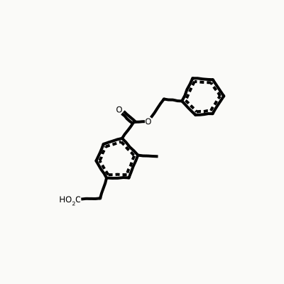 Cc1cc(CC(=O)O)ccc1C(=O)OCc1ccccc1